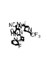 C[C@H](c1ccc(C(F)(F)F)nc1)n1nc(C#N)c2c(=O)[nH]c([C@@H]3CC[C@H]3c3ncccc3F)nc21